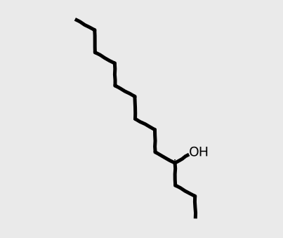 CCCCCCCCC[C](O)CCC